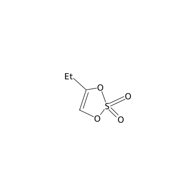 CCC1=COS(=O)(=O)O1